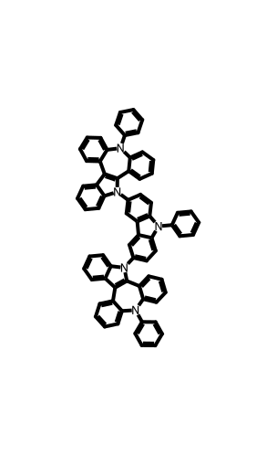 c1ccc(N2c3ccccc3-c3c(n(-c4ccc5c(c4)c4cc(-n6c7c(c8ccccc86)-c6ccccc6N(c6ccccc6)c6ccccc6-7)ccc4n5-c4ccccc4)c4ccccc34)-c3ccccc32)cc1